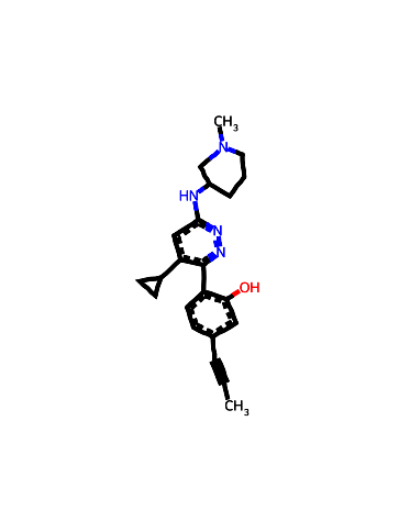 CC#Cc1ccc(-c2nnc(NC3CCCN(C)C3)cc2C2CC2)c(O)c1